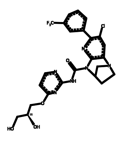 O=C(Nc1nccc(OC[C@@H](O)CO)n1)N1c2nc(-c3cccc(C(F)(F)F)c3)c(Cl)cc2N2CCC1C2